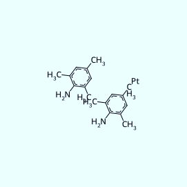 Cc1cc(C)c(N)c(C)c1.Cc1cc(C)c(N)c(C)c1.[Pt]